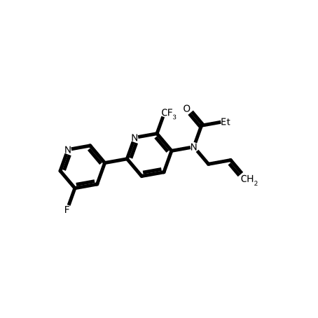 C=CCN(C(=O)CC)c1ccc(-c2cncc(F)c2)nc1C(F)(F)F